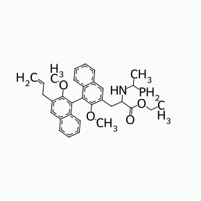 C=CCc1cc2ccccc2c(-c2c(OC)c(CC(NC(C)P)C(=O)OCC)cc3ccccc23)c1OC